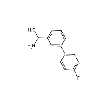 CC(N)c1cccc(-c2ccc(F)nc2)c1